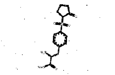 COC(=O)C(N)Cc1ccc(S(=O)(=O)C2CCCC2=O)cc1